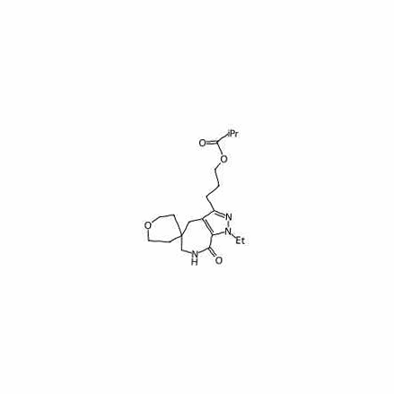 CCn1nc(CCCOC(=O)C(C)C)c2c1C(=O)NCC1(CCOCC1)C2